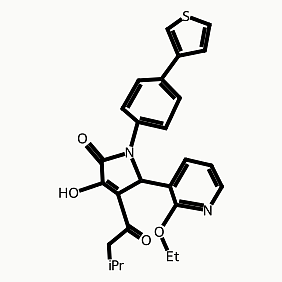 CCOc1ncccc1C1C(C(=O)CC(C)C)=C(O)C(=O)N1c1ccc(-c2ccsc2)cc1